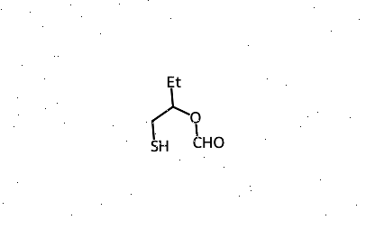 CCC(CS)OC=O